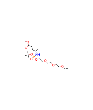 CCOCCOCCOCCOP(=O)(NC(C)CCC(=O)OC)OC(C)(C)C